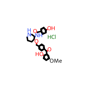 COc1ccc(O)c(C(=O)c2ccc(COC3CCCNCC3NC(=O)c3ccc(O)cc3)cc2)c1.Cl